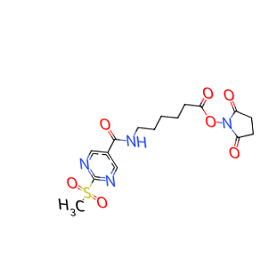 CS(=O)(=O)c1ncc(C(=O)NCCCCCC(=O)ON2C(=O)CCC2=O)cn1